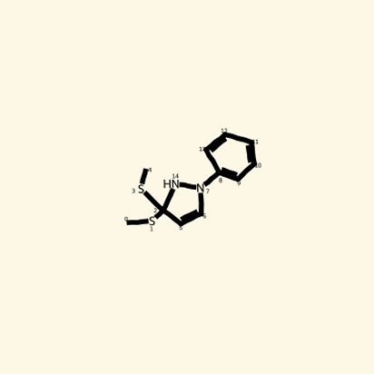 CSC1(SC)C=CN(c2ccccc2)N1